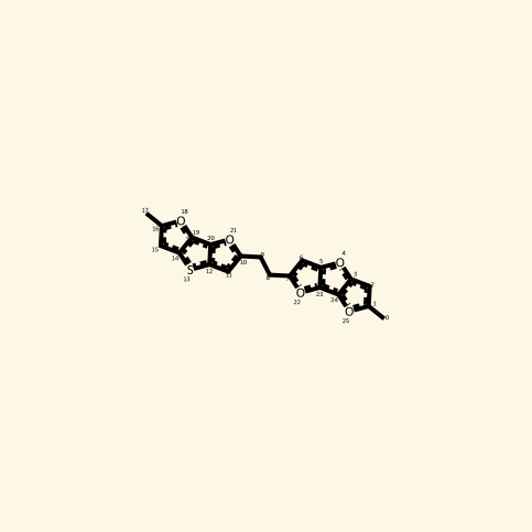 Cc1cc2oc3cc(CCc4cc5sc6cc(C)oc6c5o4)oc3c2o1